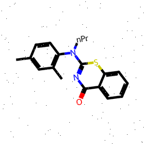 CCCN(c1nc(=O)c2ccccc2s1)c1ccc(C)cc1C